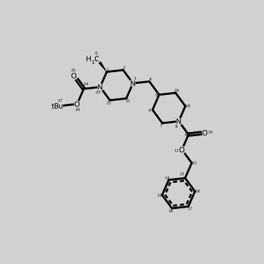 C[C@H]1CN(CC2CCN(C(=O)OCc3ccccc3)CC2)CCN1C(=O)OC(C)(C)C